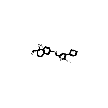 CC1=C(C=O)CCc2cc(OCc3cc(-c4ccccc4)c(C)s3)ccc21